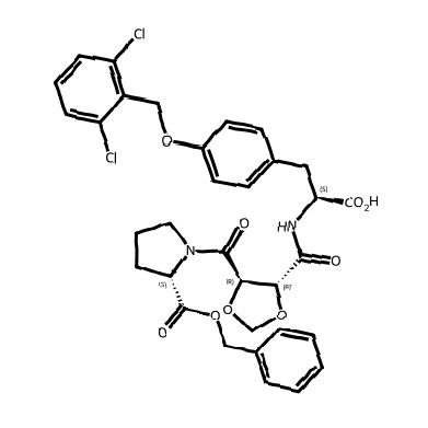 O=C(O)[C@H](Cc1ccc(OCc2c(Cl)cccc2Cl)cc1)NC(=O)[C@@H]1OCO[C@H]1C(=O)N1CCC[C@H]1C(=O)OCc1ccccc1